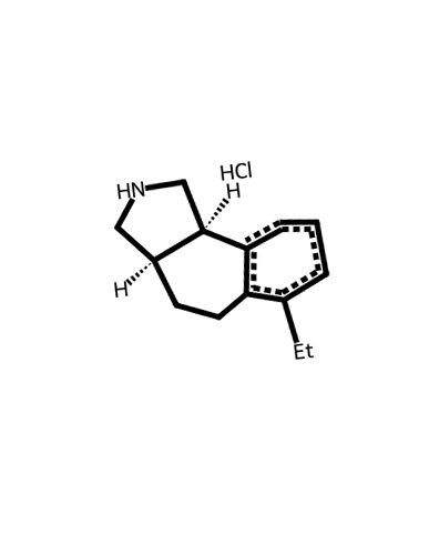 CCc1cccc2c1CC[C@H]1CNC[C@@H]21.Cl